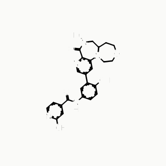 CCN1CC2CCOCCN2c2cc(-c3cc(NC(=O)c4ccnc(C(F)(F)F)c4)ccc3C)cnc2C1=O